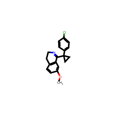 COc1ccc2c(c1)C(C1(c3ccc(Cl)cc3)CC1)=NCC2